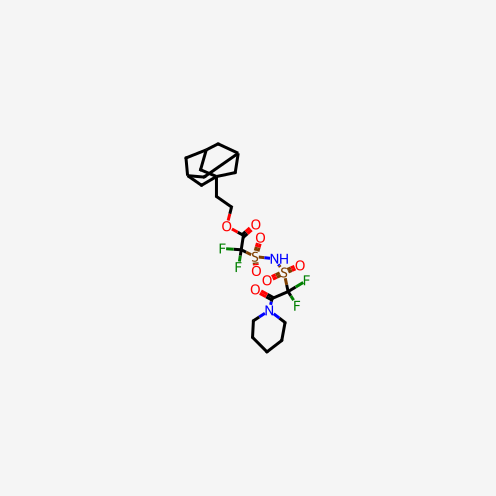 O=C(OCCC12CC3CC(CC(C3)C1)C2)C(F)(F)S(=O)(=O)NS(=O)(=O)C(F)(F)C(=O)N1CCCCC1